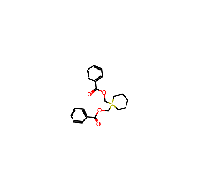 O=C(OCS1(COC(=O)c2ccccc2)CCCCC1)c1ccccc1